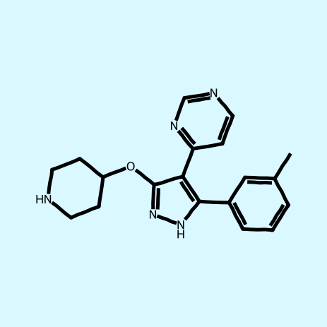 Cc1cccc(-c2[nH]nc(OC3CCNCC3)c2-c2ccncn2)c1